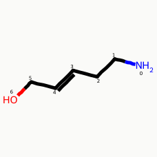 NCCC=CCO